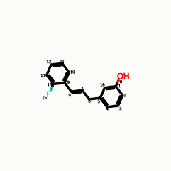 Oc1cccc(C/C=C/c2ccccc2F)c1